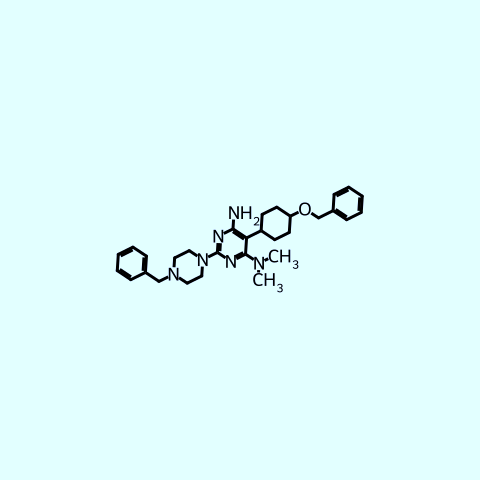 CN(C)c1nc(N2CCN(Cc3ccccc3)CC2)nc(N)c1C1CCC(OCc2ccccc2)CC1